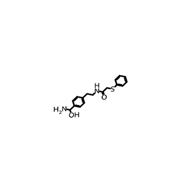 NC(O)c1ccc(CCNC(=O)CSc2ccccc2)cc1